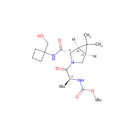 CC(C)(C)OC(=O)N[C@H](C(=O)N1C[C@H]2[C@@H]([C@H]1C(=O)NC1(CO)CCC1)C2(C)C)C(C)(C)C